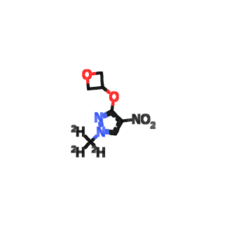 [2H]C([2H])([2H])n1cc([N+](=O)[O-])c(OC2COC2)n1